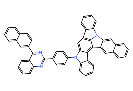 c1ccc2cc(-c3nc(-c4ccc(-n5c6ccccc6c6c7c8cc9ccccc9cc8n8c9ccccc9c(cc65)c78)cc4)nc4ccccc34)ccc2c1